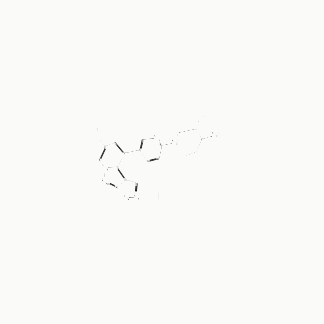 CCOc1cc(-c2ccc(N3CCC(N)[C@@H](O)C3)nc2)c2c3cn[nH]c3nn2c1.Cl